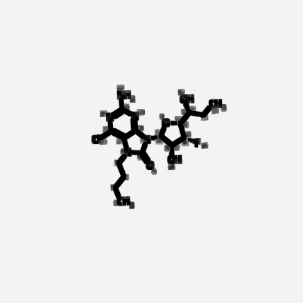 CCCCn1c(=O)n([C@@H]2O[C@H]([C@@H](O)CC)[C@H](F)[C@H]2O)c2nc(N)nc(Cl)c21